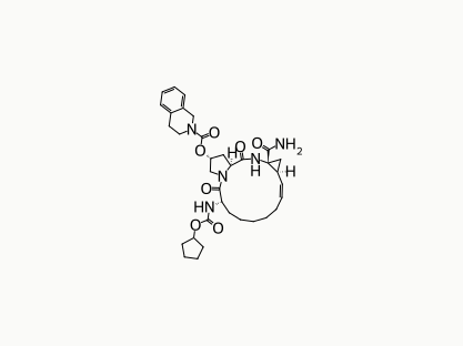 NC(=O)[C@@]12C[C@H]1/C=C\CCCCC[C@H](NC(=O)OC1CCCC1)C(=O)N1C[C@H](OC(=O)N3CCc4ccccc4C3)C[C@H]1C(=O)N2